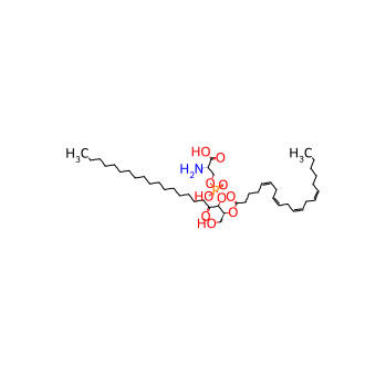 CCCCC/C=C\C/C=C\C/C=C\C/C=C\CCCC(=O)O[C@@H](CO)C(OP(=O)(O)OC[C@H](N)C(=O)O)C(=O)CCCCCCCCCCCCCCCCC